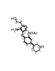 CC(=O)NC1=CC(=C2\CNCCO2)/C=CC/1=N/c1cnn(CCO)c1N